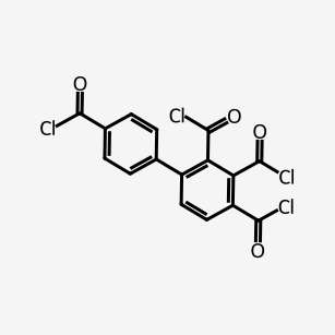 O=C(Cl)c1ccc(-c2ccc(C(=O)Cl)c(C(=O)Cl)c2C(=O)Cl)cc1